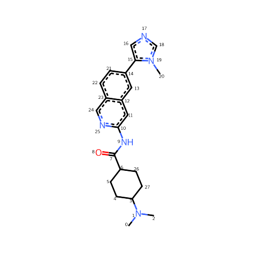 CN(C)C1CCC(C(=O)Nc2cc3cc(-c4cncn4C)ccc3cn2)CC1